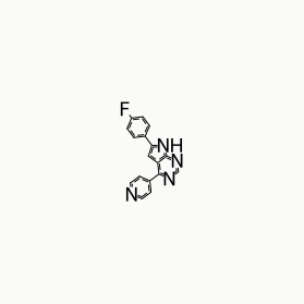 Fc1ccc(-c2cc3c(-c4ccncc4)ncnc3[nH]2)cc1